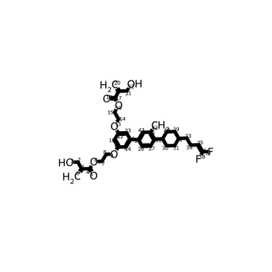 C=C(CO)C(=O)OCCOc1cc(OCCOC(=O)C(=C)CO)cc(-c2ccc(C3CCC(CCC=C(F)F)CC3)c(C)c2)c1